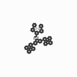 c1ccc2c(c1)-c1ccccc1C21c2ccccc2-c2ccc(-c3ccc4c5ccc(-c6ccc7c(c6)C6(c8ccccc8-c8ccccc86)c6ccccc6-7)cc5c5nc(-c6cc(-c7cccc8c7oc7ccccc78)cc(-c7cccc8c7oc7ccccc78)c6)cnc5c4c3)cc21